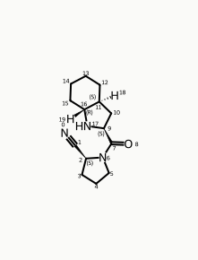 N#C[C@@H]1CCCN1C(=O)[C@@H]1C[C@@H]2CCCC[C@H]2N1